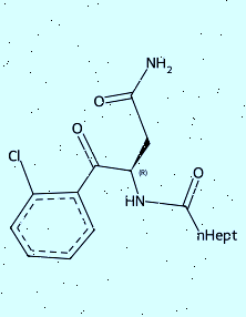 CCCCCCCC(=O)N[C@H](CC(N)=O)C(=O)c1ccccc1Cl